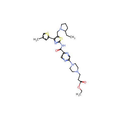 CCOC(=O)CCN1CCN(c2cnc(C(=O)Nc3nc(-c4cc(C)cs4)c(CN4CCCC4CC)s3)cn2)CC1